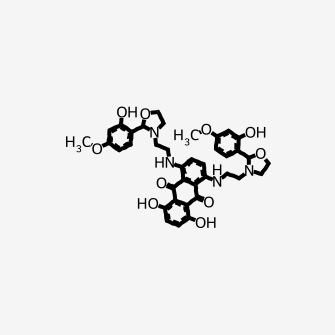 COc1ccc(C2OCCN2CCNc2ccc(NCCN3CCOC3c3ccc(OC)cc3O)c3c2C(=O)c2c(O)ccc(O)c2C3=O)c(O)c1